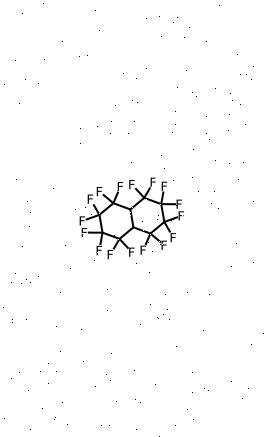 FC1(F)C2C(C(F)(F)C(F)(F)C1(F)F)C(F)(F)C(F)(F)C(F)(F)C2(F)F